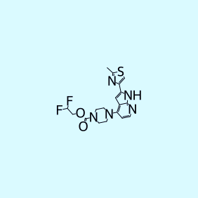 Cc1nc(-c2cc3c(N4CCN(C(=O)OCC(F)F)CC4)ccnc3[nH]2)cs1